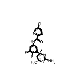 C[C@]1(c2cc(NC(=O)c3ccc(Cl)cn3)cc(F)c2F)C[C@@H](C(F)(F)F)OC(N)=N1